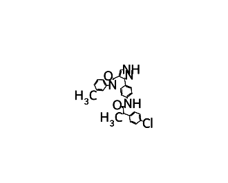 Cc1ccc2oc(-c3c[nH]nc3-c3ccc(NC(=O)C(C)c4ccc(Cl)cc4)cc3)nc2c1